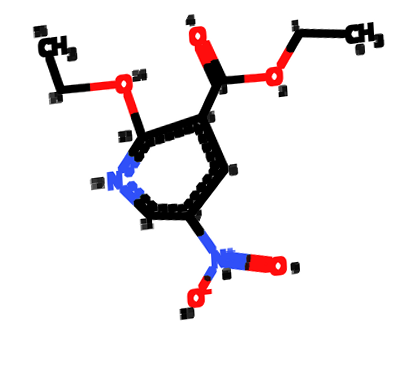 CCOC(=O)c1cc([N+](=O)[O-])cnc1OCC